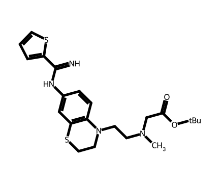 CN(CCN1CCSc2cc(NC(=N)c3cccs3)ccc21)CC(=O)OC(C)(C)C